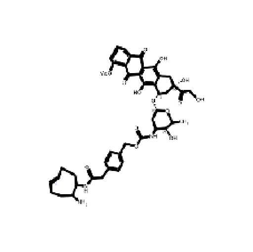 COc1cccc2c1C(=O)c1c(O)c3c(c(O)c1C2=O)C[C@@](O)(C(=O)CO)C[C@@H]3O[C@H]1CC(NC(=O)OCc2ccc(CC(=O)NC3CC/C=C/CCC3N)cc2)[C@H](O)C(C)O1